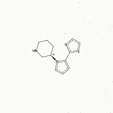 c1cc(-c2nccs2)n([C@@H]2CCCNC2)c1